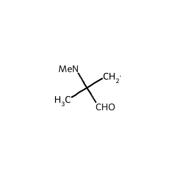 [CH2]C(C)(C=O)NC